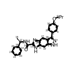 CC(C)Oc1ccc(-c2n[nH]c3cc4[nH]c(C(=O)N[C@H](C)c5ccccc5)nc4cc23)cc1